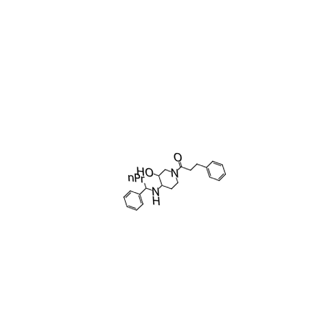 CCCC(NC1CCN(C(=O)CCc2ccccc2)CC1O)c1ccccc1